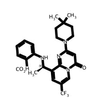 C[C@@H](Nc1ccccc1C(=O)O)c1cc(C(F)(F)F)cn2c(=O)cc(N3CCC(C)(C)CC3)nc12